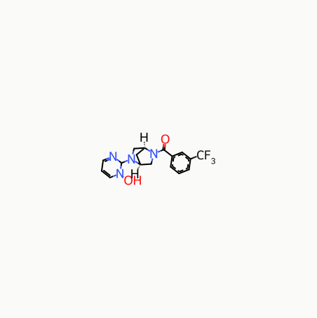 O=C(c1cccc(C(F)(F)F)c1)N1C[C@@H]2C[C@H]1CN2C1N=CC=CN1O